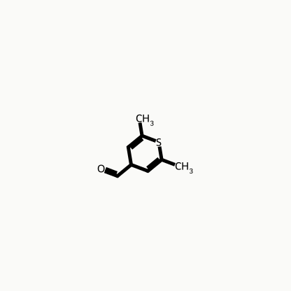 CC1=CC(C=O)C=C(C)S1